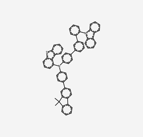 CC1(C)c2ccccc2-c2ccc(-c3ccc(N(c4ccc(-c5cccc(-c6ccccc6-n6c7ccccc7c7ccccc76)c5)cc4)c4cccc5sc6ccccc6c45)cc3)cc21